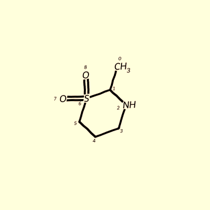 CC1NCCCS1(=O)=O